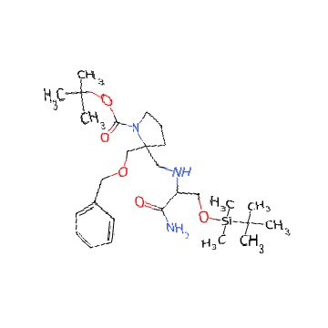 CC(C)(C)OC(=O)N1CCCC1(CNC(CO[Si](C)(C)C(C)(C)C)C(N)=O)COCc1ccccc1